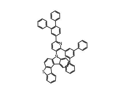 c1ccc(-c2cc(-c3ccccc3)cc(-c3nc(-c4ccc(-c5ccccc5)c(-c5ccccc5)c4)ccc3-n3c4ccccc4c4c5c(ccc43)sc3ccccc35)c2)cc1